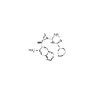 O=C(O)c1cc2ccccc2cc1NC1SN1C(NC(=O)C1CCCCC1)C(Cl)(Cl)Cl